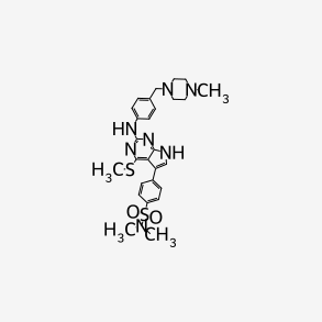 CSc1nc(Nc2ccc(CN3CCN(C)CC3)cc2)nc2[nH]cc(-c3ccc(S(=O)(=O)N(C)C)cc3)c12